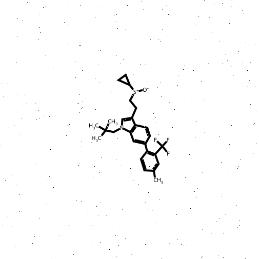 Cc1ccc(-c2ccc3c(CC[S+]([O-])C4CC4)cn(CC(C)(C)C)c3c2)c(C(F)(F)F)c1